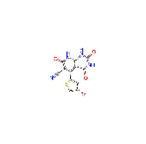 N#Cc1c(-c2cc(Br)cs2)c2c(=O)[nH]c(=O)[nH]c2[nH]c1=O